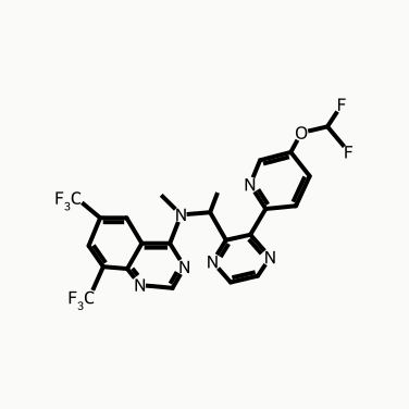 CC(c1nccnc1-c1ccc(OC(F)F)cn1)N(C)c1ncnc2c(C(F)(F)F)cc(C(F)(F)F)cc12